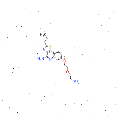 CCCc1nc2c(N)nc3cc(OCCOCCN)ccc3c2s1